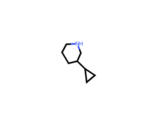 C1CNCC(C2CC2)C1